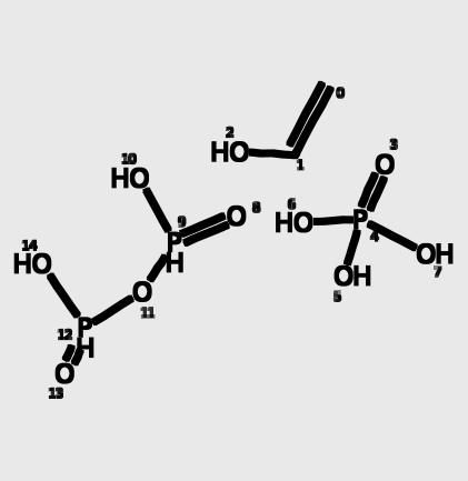 C=CO.O=P(O)(O)O.O=[PH](O)O[PH](=O)O